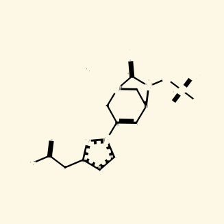 NC(=O)Cc1ccn(C2=CC3CN(C2)C(=O)N3OS(=O)(=O)[O-])n1.[Na+]